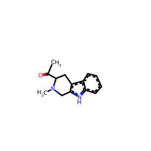 CC(=O)C1Cc2c([nH]c3ccccc23)CN1C